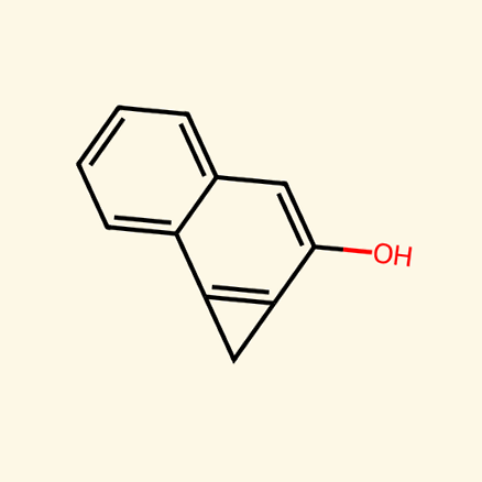 Oc1cc2ccccc2c2c1C2